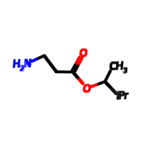 CC(C)C(C)OC(=O)CCN